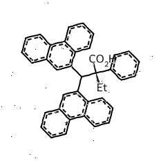 CC[C@@](C(=O)O)(c1ccccc1)C(c1cc2ccccc2c2ccccc12)c1cc2ccccc2c2ccccc12